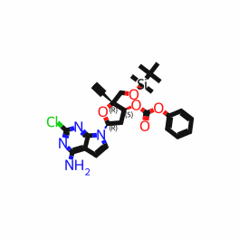 C#C[C@]1(CO[Si](C)(C)C(C)(C)C)O[C@@H](n2ccc3c(N)nc(Cl)nc32)C[C@@H]1OC(=O)Oc1ccccc1